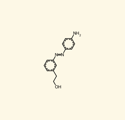 Nc1ccc(/N=N/c2cccc(CCO)c2)cc1